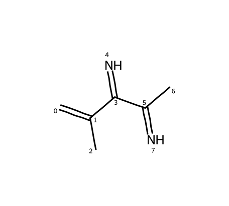 C=C(C)C(=N)C(C)=N